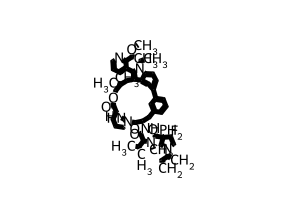 C=CC(=C)N1C[C@@H](F)[C@](P)(C(=O)N(C)C(C(=O)NC2Cc3cccc(c3)-c3ccc4c(c3)c(c(-c3cccnc3C(C)OC)n4CC)CC(C)(C)COC(=O)[C@@H]3CCCN(N3)C2=O)C(C)C)C1